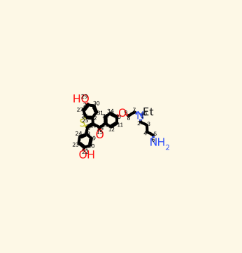 CCN(CCCCN)CCOc1ccc(C(=O)c2c(-c3ccc(O)cc3)sc3cc(O)ccc23)cc1